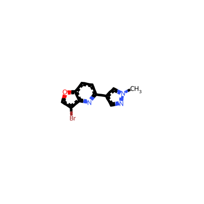 Cn1cc(-c2ccc3occ(Br)c3n2)cn1